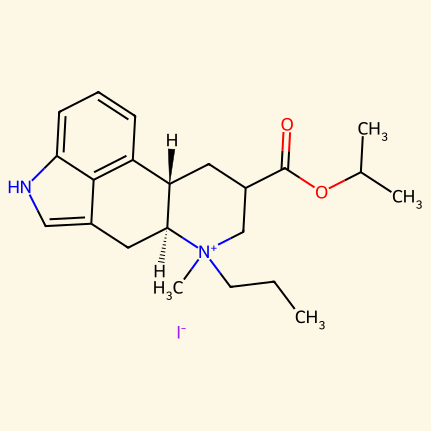 CCC[N+]1(C)CC(C(=O)OC(C)C)C[C@H]2c3cccc4[nH]cc(c34)C[C@@H]21.[I-]